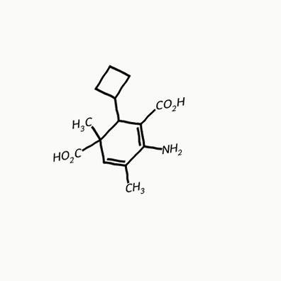 CC1=CC(C)(C(=O)O)C(C2CCC2)C(C(=O)O)=C1N